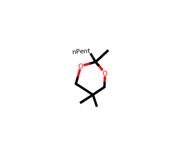 CCCCCC1(C)OCC(C)(C)CO1